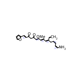 C=C\C(=C/C(=C/C=C/C(=O)CC(=O)/C=C/c1ccco1)OC)C/C=C\C=C/N